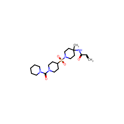 C=CC(=O)NC1(C)CCN(S(=O)(=O)C2CCN(C(=O)N3CCCCC3)CC2)CC1